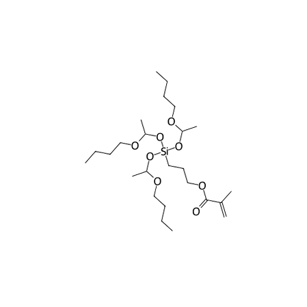 C=C(C)C(=O)OCCC[Si](OC(C)OCCCC)(OC(C)OCCCC)OC(C)OCCCC